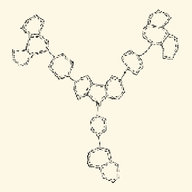 c1ccc2cc(-c3ccc(-n4c5ccc(-c6ccc(-c7cc8ccccc8c8ccccc78)cc6)cc5c5cc(-c6ccc(-c7cc8ccccc8c8ccccc78)cc6)ccc54)cc3)ccc2c1